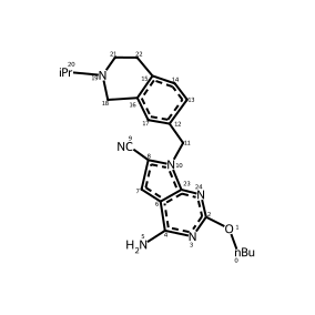 CCCCOc1nc(N)c2cc(C#N)n(Cc3ccc4c(c3)CN(C(C)C)CC4)c2n1